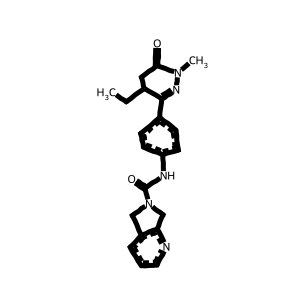 CCC1CC(=O)N(C)N=C1c1ccc(NC(=O)N2Cc3cccnc3C2)cc1